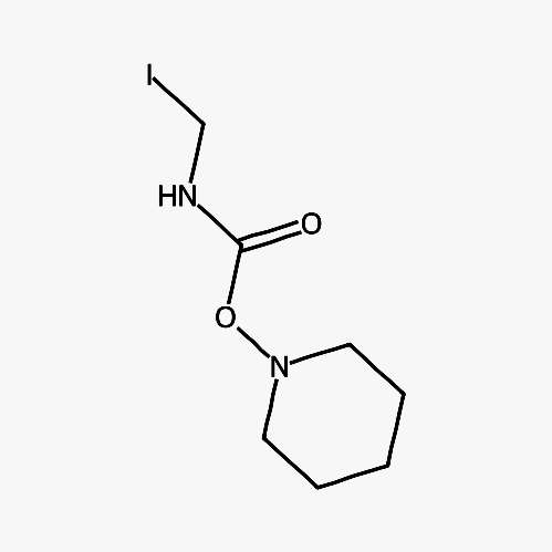 O=C(NCI)ON1CCCCC1